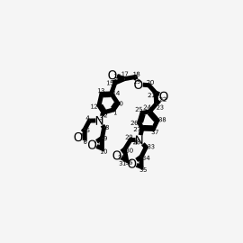 c1cc(N(CC2CO2)CC2CO2)ccc1C1OC1COCC1OC1c1ccc(N(CC2CO2)CC2CO2)cc1